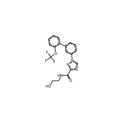 O=C(NCCO)c1ncn(-c2cccc(-c3ccccc3OC(F)(F)F)c2)n1